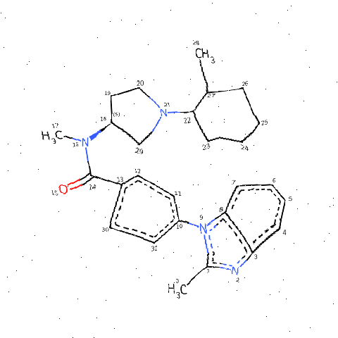 Cc1nc2ccccc2n1-c1ccc(C(=O)N(C)[C@H]2CCN(C3CCCCC3C)C2)cc1